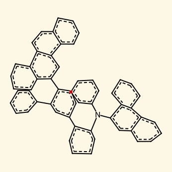 c1ccc(-c2cc(-c3ccccc3N(c3ccccc3)c3cc4ccccc4c4ccccc34)ccc2-c2cc3c4ccccc4ccc3c3ccccc23)cc1